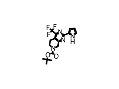 CC(C)(C)OC(=O)N1CCc2c(nc(-c3ccc[nH]3)nc2C(F)(F)F)C1